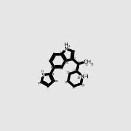 CC(c1c[nH]c2ccc(-c3cccs3)cc12)C1CCCCN1